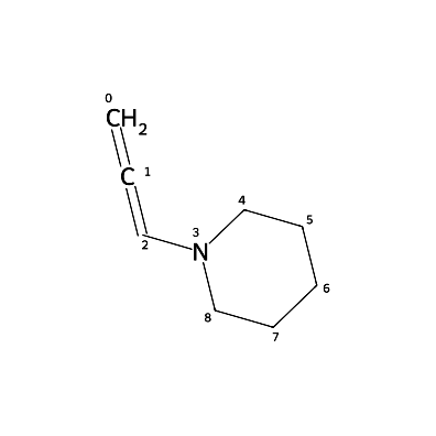 C=C=CN1CCCCC1